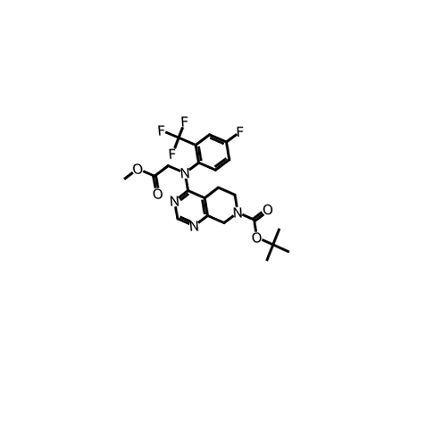 COC(=O)CN(c1ccc(F)cc1C(F)(F)F)c1ncnc2c1CCN(C(=O)OC(C)(C)C)C2